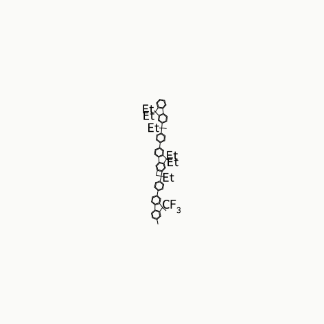 CCC(C)(c1ccc(-c2ccc3c(c2)C(CC)(CC)c2cc4c(cc2-3)CC4(CC)c2ccc(-c3ccc4c(c3)C(C)(C(F)(F)F)c3cc(C)ccc3-4)cc2)cc1)c1ccc2c(c1)C(CC)(CC)c1ccccc1-2